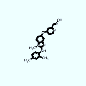 Cc1ccc(Nc2nc3cc(Oc4ccnc(C=NO)c4)ccc3n2C)c(C)c1